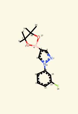 CC1(C)OB(c2cnn(-c3cccc(F)c3)c2)OC1(C)C